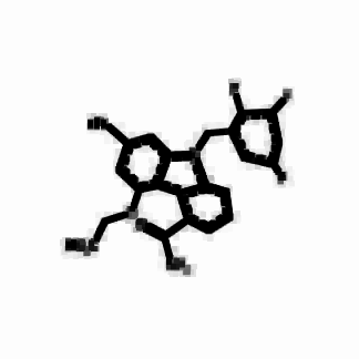 CCCc1cc(OCC(=O)O)c2c3c(C(N)=O)cccc3n(Cc3cc(F)cc(F)c3F)c2c1